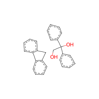 OCC(O)(c1ccccc1)c1ccccc1.c1ccc2c(c1)Cc1ccccc1-2